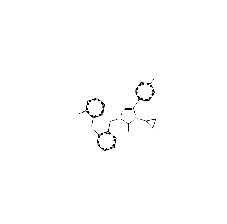 Cc1ccccc1Oc1ccccc1CN1N=C(c2ccc(Cl)cc2)N(C2CC2)C1C=O